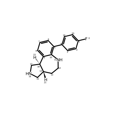 Fc1ccc(-c2cccc3c2NCC[C@@H]2CNC[C@@H]32)cc1